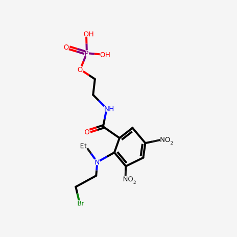 [CH2]CN(CCBr)c1c(C(=O)NCCOP(=O)(O)O)cc([N+](=O)[O-])cc1[N+](=O)[O-]